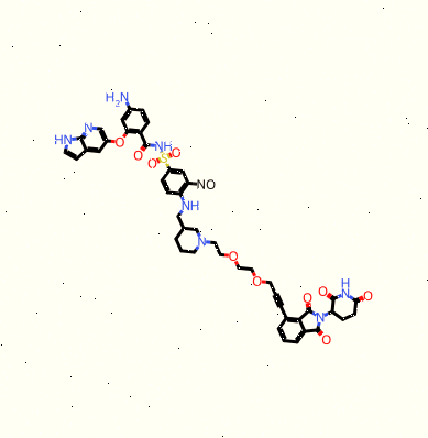 Nc1ccc(C(=O)NS(=O)(=O)c2ccc(NCC3CCCN(CCOCCOCC#Cc4cccc5c4C(=O)N(C4CCC(=O)NC4=O)C5=O)C3)c(N=O)c2)c(Oc2cnc3[nH]ccc3c2)c1